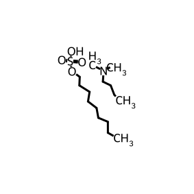 CCCCCCCCCOS(=O)(=O)O.CCCCN(C)C